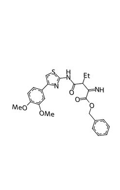 CCC(C(=N)C(=O)OCc1ccccc1)C(=O)Nc1nc(-c2ccc(OC)c(OC)c2)cs1